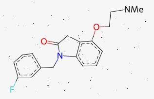 CNCCOc1cccc2c1CC(=O)N2Cc1cccc(F)c1